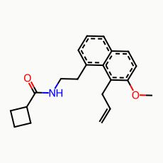 C=CCc1c(OC)ccc2cccc(CCNC(=O)C3CCC3)c12